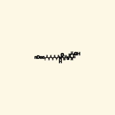 CCCCCCCCCCCCCCCCCCNC(=O)CCSc1ccc(O)cc1